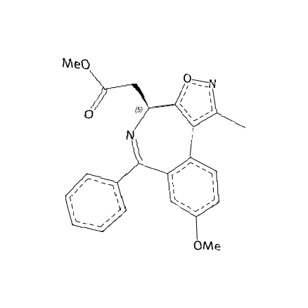 COC(=O)C[C@@H]1N=C(c2ccccc2)c2cc(OC)ccc2-c2c(C)noc21